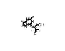 Cc1nc(NC(CO)C(C)C)n2nccc2n1